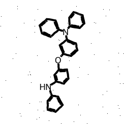 c1ccc(Nc2cccc(Oc3cccc(N(c4ccccc4)c4ccccc4)c3)c2)cc1